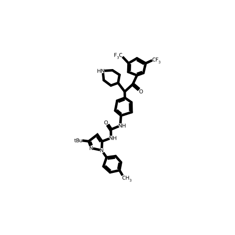 Cc1ccc(-n2nc(C(C)(C)C)cc2NC(=O)Nc2ccc(C(C(=O)c3cc(C(F)(F)F)cc(C(F)(F)F)c3)C3CCNCC3)cc2)cc1